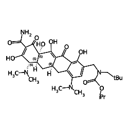 CC(C)OC(=O)N(Cc1cc(N(C)C)c2c(c1O)C(=O)C1=C(O)[C@]3(O)C(=O)C(C(N)=O)=C(O)[C@@H](N(C)C)[C@@H]3C[C@@H]1C2)CC(C)(C)C